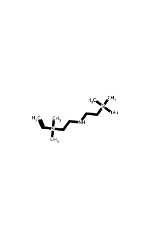 C=C[Si](C)(C)CCNCC[Si](C)(C)C(C)(C)C